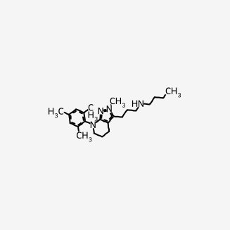 CCCCNCCCc1c2c(nn1C)N(c1c(C)cc(C)cc1C)CCC2